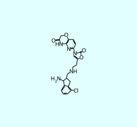 NC1c2cccc(Cl)c2CC1CNCCc1cn(-c2ccc3c(n2)NC(=O)CO3)c(=O)o1